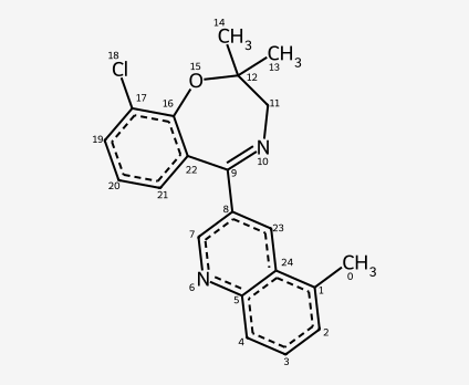 Cc1cccc2ncc(C3=NCC(C)(C)Oc4c(Cl)cccc43)cc12